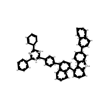 C1=CCC(c2nc(-c3ccccc3)nc(-c3ccc(-c4ccc(-c5cccc6oc7cc(-c8ccc9ccccc9c8)ccc7c56)c5ccccc45)cc3)n2)C=C1